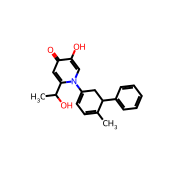 CC1=CC=C(n2cc(O)c(=O)cc2C(C)O)CC1c1ccccc1